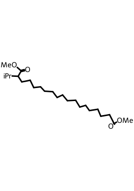 COC(=O)CCCCCCCCCCCCCCCCC(C(=O)OC)C(C)C